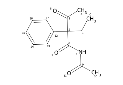 CCC(C(C)=O)(C(=O)NC(C)=O)c1ccccc1